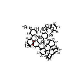 CC(C)(C)c1ccc(N2c3cc4c(cc3B3c5c(cc(C(C)(C)C)cc52)-c2cccc5c2N3c2ccccc2C52c3ccccc3-c3ccccc32)Sc2ccccc2C4(C)C)c(-c2ccccc2)c1